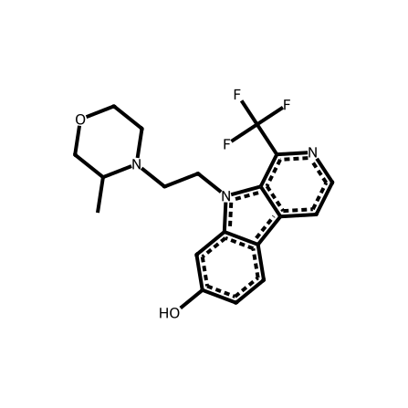 CC1COCCN1CCn1c2cc(O)ccc2c2ccnc(C(F)(F)F)c21